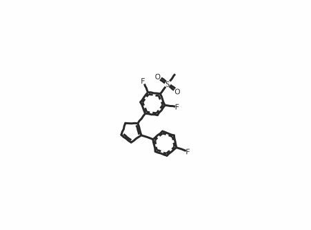 CS(=O)(=O)c1c(F)cc(C2=C(c3ccc(F)cc3)C=CC2)cc1F